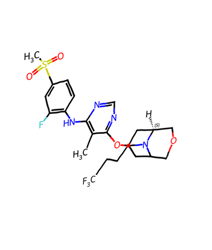 Cc1c(Nc2ccc(S(C)(=O)=O)cc2F)ncnc1OC1CC2COC[C@H](C1)N2CCCC(F)(F)F